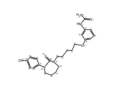 NC(=S)Nc1cccc(OCCCCCN2CCCCN(c3ccc(Cl)cc3)C2=S)c1